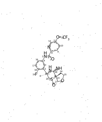 C[C@@]1(c2cc(NC(=O)c3ccc(OC(F)(F)F)cn3)ccc2F)C[S+]([O-])[C@]2(CCOC2)C(=N)N1